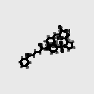 O=C(CCCNc1ccccc1)Nc1ccc(CC(NC(=O)C2CCCN2S(=O)(=O)c2ccccc2)C(=O)O)cc1